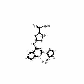 COC(=O)C1CC(Oc2nc(-c3ccnn3C)nc3ccsc23)CN1